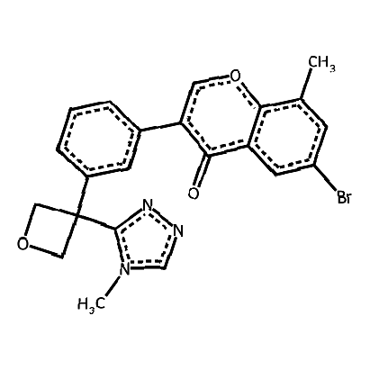 Cc1cc(Br)cc2c(=O)c(-c3cccc(C4(c5nncn5C)COC4)c3)coc12